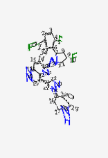 Fc1ccc(F)c([C@H]2C[C@H](F)CN2c2ccc3nncc(-c4cnn(C5CCNCC5)c4)c3n2)c1